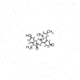 Cc1ccc(N2CCN(C(=O)C(C)c3ccc(O)cc3)CC2c2ccc(Cl)cc2)c(Cl)c1